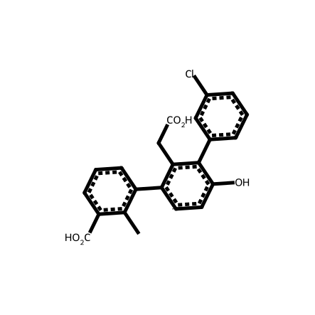 Cc1c(C(=O)O)cccc1-c1[c]cc(O)c(-c2cccc(Cl)c2)c1CC(=O)O